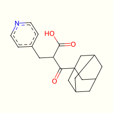 O=C(O)C(Cc1ccncc1)C(=O)C12CC3CC(CC(C3)C1)C2